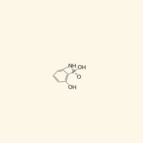 O=P1(O)Nc2cccc(O)c21